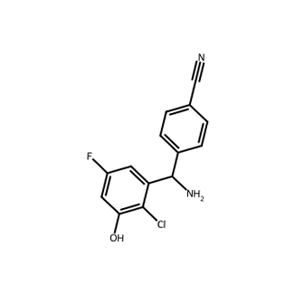 N#Cc1ccc(C(N)c2cc(F)cc(O)c2Cl)cc1